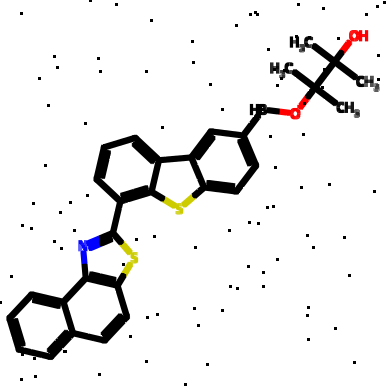 CC(C)(O)C(C)(C)OBc1ccc2sc3c(-c4nc5c(ccc6ccccc65)s4)cccc3c2c1